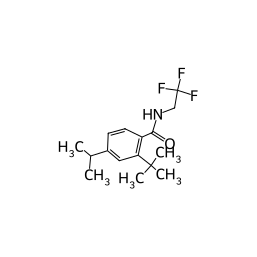 CC(C)c1ccc(C(=O)NCC(F)(F)F)c(C(C)(C)C)c1